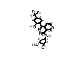 Oc1cc(C(F)(F)F)ccc1-c1nnc(NC2C[C@@H](O)[C@H](O)C2)c2cnccc12